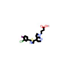 O=C(O)CCCn1ccc2c(-c3cnc(-c4ccc(I)c(Cl)c4)s3)ccnc21